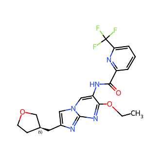 CCOc1nc2nc(C[C@H]3CCOC3)cn2cc1NC(=O)c1cccc(C(F)(F)F)n1